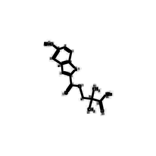 COc1ccc2sc(C(=O)OCC(C)(C)C(=O)C(C)(C)C)cc2c1